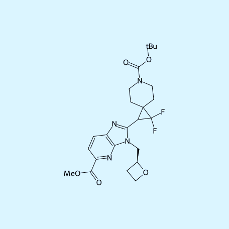 COC(=O)c1ccc2nc(C3C(F)(F)C34CCN(C(=O)OC(C)(C)C)CC4)n(C[C@@H]3CCO3)c2n1